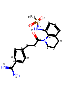 CCCCS(=O)(=O)Nc1cccc2c1N(C(=O)CCc1ccc(C(=N)N)cc1)CCC2